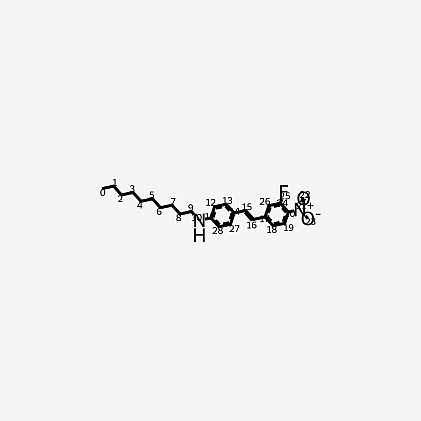 CCCCCCCCCCNc1ccc(C=Cc2ccc([N+](=O)[O-])c(F)c2)cc1